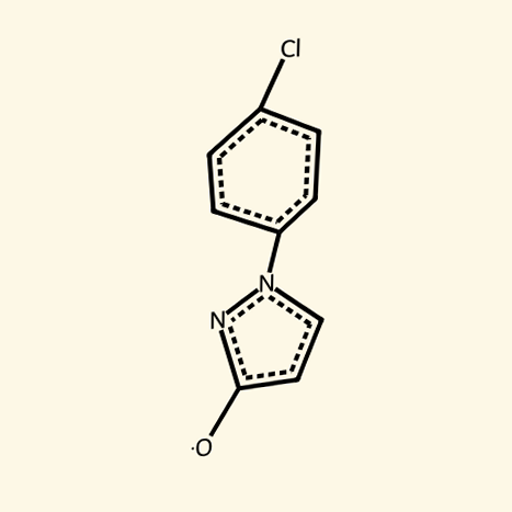 [O]c1ccn(-c2ccc(Cl)cc2)n1